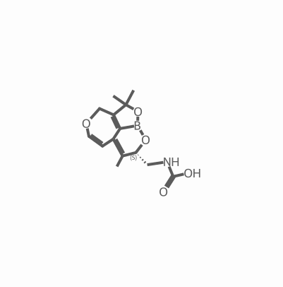 CC1=C2C=COCC3=C2B(O[C@@H]1CNC(=O)O)OC3(C)C